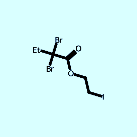 CCC(Br)(Br)C(=O)OCCI